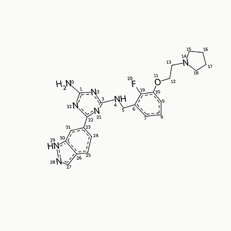 Nc1nc(NCc2cccc(OCCN3CCCC3)c2F)nc(-c2ccc3cn[nH]c3c2)n1